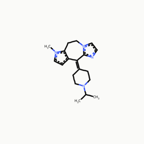 CC(C)N1CCC(=C2c3ccn(C)c3CCn3ccnc32)CC1